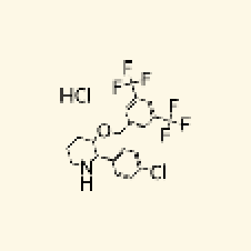 Cl.FC(F)(F)c1cc(CO[C@@H]2CCCN[C@@H]2c2ccc(Cl)cc2)cc(C(F)(F)F)c1